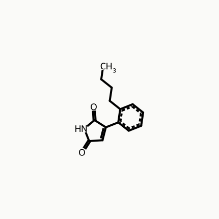 CCCCc1ccccc1C1=CC(=O)NC1=O